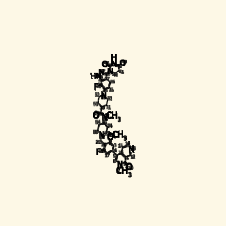 COc1cc(-c2cn(C)c(=O)c3cnccc23)cc(F)c1CN1CCC(N(C)C(=O)C2CCN(c3ccc4c(N5CCC(=O)NC5=O)n[nH]c4c3F)CC2)CC1